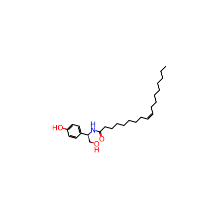 CCCCCCCC/C=C\CCCCCCCC(=O)N[C@@H](CO)c1ccc(O)cc1